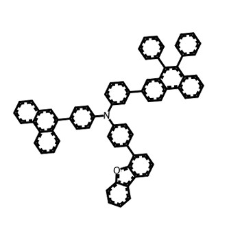 c1ccc(-c2c(-c3ccccc3)c3cc(-c4cccc(N(c5ccc(-c6cc7ccccc7c7ccccc67)cc5)c5ccc(-c6cccc7c6oc6ccccc67)cc5)c4)ccc3c3ccccc23)cc1